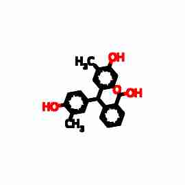 Cc1cc(C(c2ccc(O)c(C)c2)c2ccccc2C(=O)O)ccc1O